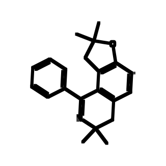 CC1(C)Cc2c[c]c3c(c2C(c2ccccc2)=N1)CC(C)(C)O3